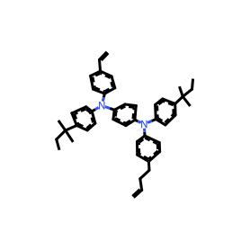 C=CCCc1ccc(N(c2ccc(N(c3ccc(C=C)cc3)c3ccc(C(C)(C)CC)cc3)cc2)c2ccc(C(C)(C)CC)cc2)cc1